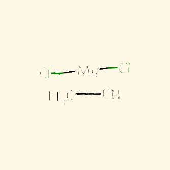 CC#N.[Cl][Mg][Cl]